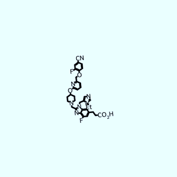 CCn1cncc1Cn1c(CN2CCC(Oc3cccc(COc4ccc(C#N)cc4F)n3)CC2)nc2c(F)cc(CCC(=O)O)cc21